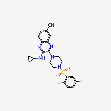 Cc1ccc(C)c(S(=O)(=O)N2CCN(c3nc4cc(C#N)ccc4nc3NC3CC3)CC2)c1